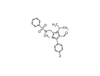 CC(C)n1c(CN(C)S(=O)(=O)c2ccccc2)nc(-c2ccc(F)cc2)c1C=O